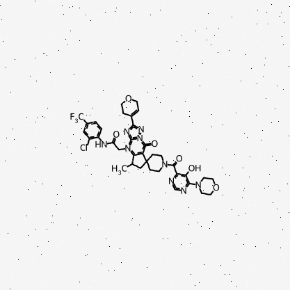 CC1CC2(CCN(C(=O)c3ncnc(N4CCOCC4)c3O)CC2)c2c1n(CC(=O)Nc1ccc(C(F)(F)F)cc1Cl)c1nc(C3=CCOCC3)nn1c2=O